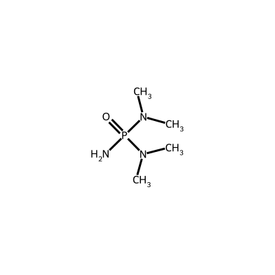 CN(C)P(N)(=O)N(C)C